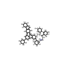 Cc1ccc2[n+](c1)C1Cc3cc4c(cc3-c3cccc[n+]3/C=C/CC1c1ccccc1-2)c1cc(-c2ccccc2)cc2c3cc5c(cc3n4c12)sc1ccccc15